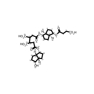 O=C(O)CCC(=O)O[C@H]1CC[C@H]2[C@@H]1CC[C@@H]2OC(=O)CC(C(=O)O)C(CC(=O)O[C@@H]1CC[C@H]2[C@@H]1CC[C@H]2O)C(=O)O